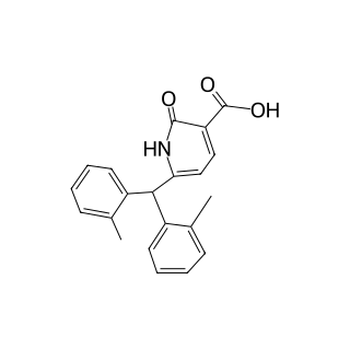 Cc1ccccc1C(c1ccc(C(=O)O)c(=O)[nH]1)c1ccccc1C